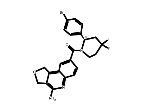 Nc1nc2ccc(C(=O)N3CCC(F)(F)C[C@@H]3c3ccc(Br)cc3)cc2c2c1COC2